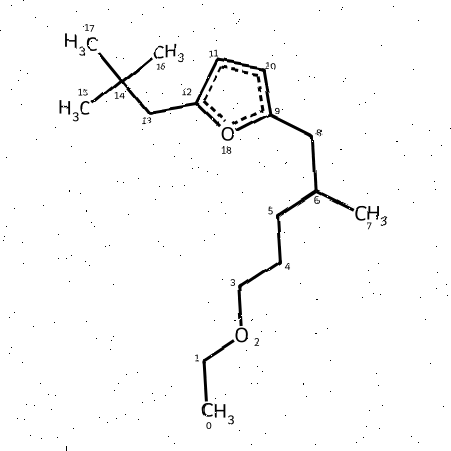 CCOCCCC(C)Cc1ccc(CC(C)(C)C)o1